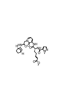 COC(=O)/C=C/CC[C@H](NC(=O)c1ccnn1C)C(=O)Nc1cccn(CC(=O)N[C@@H]2C[C@H]3CC[C@@H]2C3)c1=O